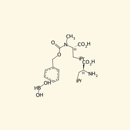 CC(C)C[C@@H](C(=O)O)N(C)C(=O)OCc1ccccc1.CC(C)C[C@H](N)C(=O)O.OBO